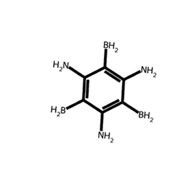 Bc1c(N)c(B)c(N)c(B)c1N